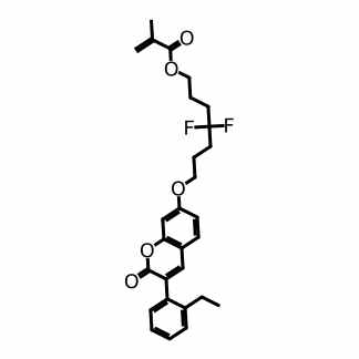 C=C(C)C(=O)OCCCC(F)(F)CCCOc1ccc2cc(-c3ccccc3CC)c(=O)oc2c1